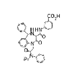 CC(C)N(C(=O)CN1C(=O)C(C(=O)Nc2cccc(C(=O)O)c2)NC(c2ccccc2)c2ccccc21)c1ccccc1